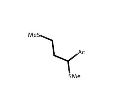 CSCCC(SC)C(C)=O